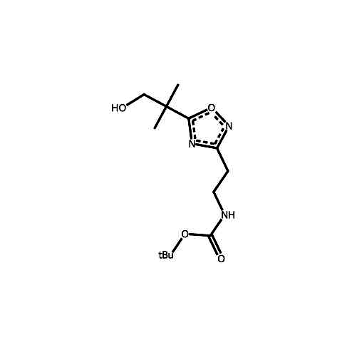 CC(C)(C)OC(=O)NCCc1noc(C(C)(C)CO)n1